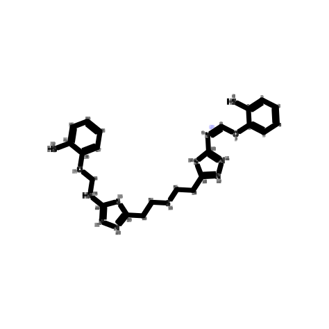 Sc1ccccc1O/C=N\c1nnc(CCSCCc2nnc(NCOc3ccccc3S)s2)s1